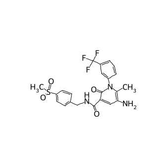 Cc1c(N)cc(C(=O)NCc2ccc(S(C)(=O)=O)cc2)c(=O)n1-c1cccc(C(F)(F)F)c1